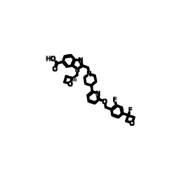 O=C(O)c1ccc2nc(CN3CCC(c4cccc(OCc5ccc(C6(F)COC6)cc5F)n4)CC3)n(C[C@@H]3CCO3)c2c1